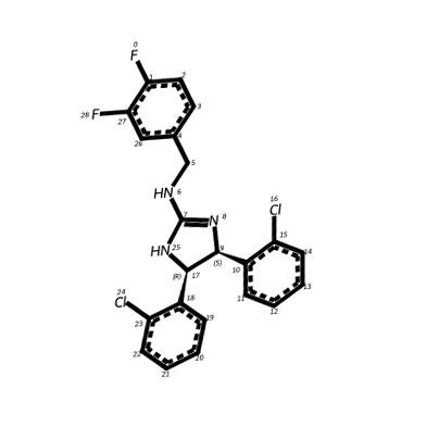 Fc1ccc(CNC2=N[C@@H](c3ccccc3Cl)[C@@H](c3ccccc3Cl)N2)cc1F